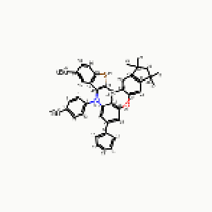 CC(C)(C)c1ccc(N2c3cc(-c4ccccc4)cc4c3B(c3cc5c(cc3O4)C(C)(C)CC5(C)C)c3sc4ccc(C(C)(C)C)cc4c32)cc1